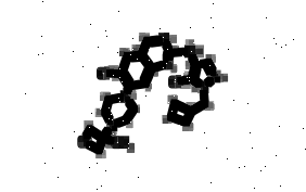 CC1(N2CCN(c3cc4nc(Nc5cnn(CC6CCC6)c5Cl)ncc4cc3Cl)CC2)COC1